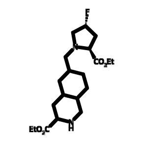 CCOC(=O)C1CC2CC(CN3C[C@H](F)C[C@H]3C(=O)OCC)CCC2CN1